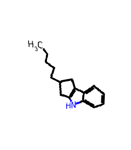 CCCCCC1Cc2[nH]c3ccccc3c2C1